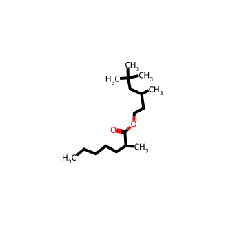 CCCCCC(C)C(=O)OCCC(C)CC(C)(C)C